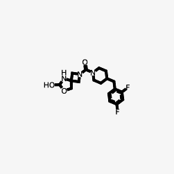 O=C(N1CCC(Cc2ccc(F)cc2F)CC1)N1CC2(COC(O)N2)C1